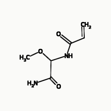 C=CC(=O)NC(OC)C(N)=O